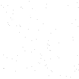 CC1=NOCC1(c1nccc2cc(Nc3n[nH]c4cccnc34)ccc12)C(F)(F)F